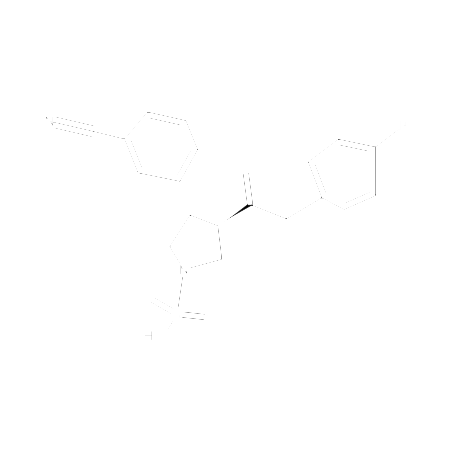 CS(=O)(=O)N1C[C@H](C(=O)Cc2ccc(Br)cc2)[C@@H](c2cccc(C#N)c2)C1